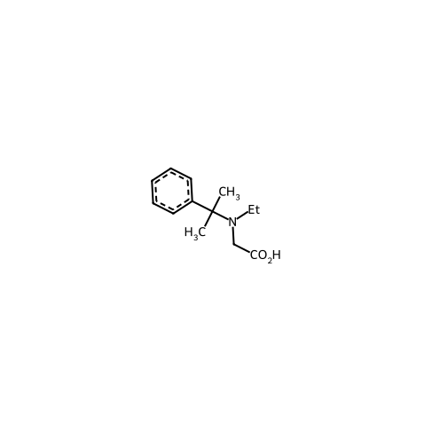 CCN(CC(=O)O)C(C)(C)c1ccccc1